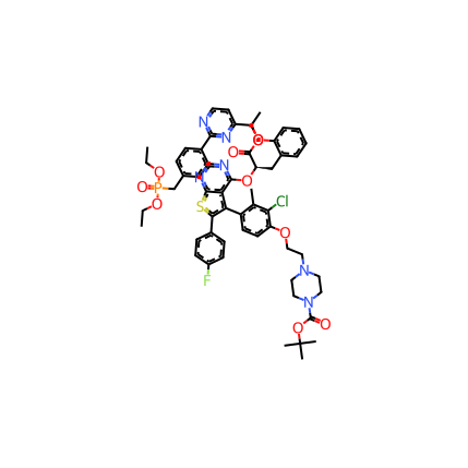 CCOC(=O)[C@@H](Cc1ccccc1OCc1ccnc(-c2ccc(CP(=O)(OCC)OCC)cc2)n1)Oc1ncnc2sc(-c3ccc(F)cc3)c(-c3ccc(OCCN4CCN(C(=O)OC(C)(C)C)CC4)c(Cl)c3C)c12